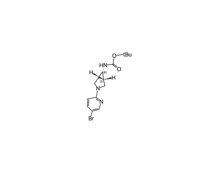 CC(C)(C)OC(=O)N[C@@H]1[C@@H]2CN(c3ccc(Br)cn3)C[C@@H]21